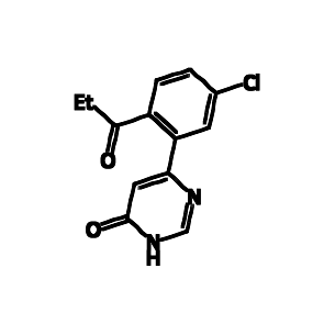 CCC(=O)c1ccc(Cl)cc1-c1cc(=O)[nH]cn1